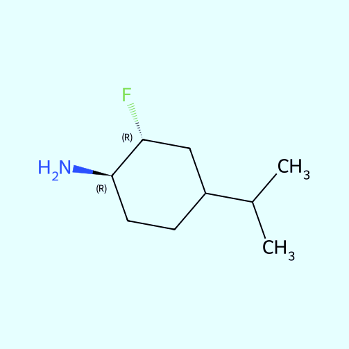 CC(C)C1CC[C@@H](N)[C@H](F)C1